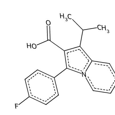 CC(C)c1c(C(=O)O)c(-c2ccc(F)cc2)n2ccccc12